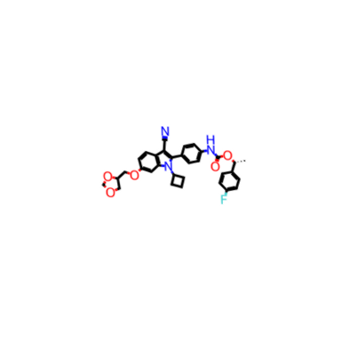 C[C@@H](OC(=O)Nc1ccc(-c2c(C#N)c3ccc(OCC4COCO4)cc3n2C2CCC2)cc1)c1ccc(F)cc1